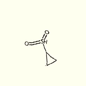 O=[SH](=O)C1[CH]C1